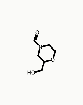 O=CN1CCOC(CO)C1